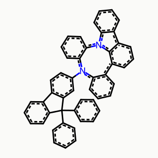 c1ccc(C2(c3ccccc3)c3ccccc3-c3ccc(-n4c5ccccc5c5cccc6c7ccccc7n(c7ccccc74)c56)cc32)cc1